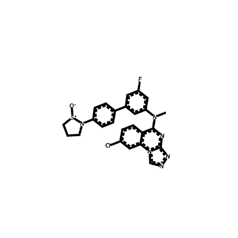 CN(c1cc(F)cc(-c2ccc(N3CCC[S+]3[O-])cc2)c1)c1nc2nncn2c2cc(Cl)ccc12